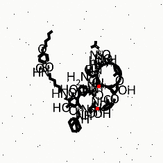 CCCCCOc1ccc(S(=O)(=O)NCCCCCCNCc2c(O)cc3c(c2O)-c2cc(ccc2O)[C@H]2NC(=O)[C@@H]4NC(=O)[C@H](CC(N)=O)NC(=O)[C@H](NC(=O)[C@@H](CC(C)C)NC)[C@H](O)c5ccc(c(C)c5)Oc5cc4cc(c5O)Oc4ccc(cc4Cl)[C@@H](O)[C@H](NC2=O)C(=O)N[C@@H]3C(=O)NC2C3CC4CC(C3)CC2C4)cc1